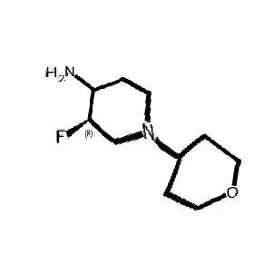 NC1CCN(C2CCOCC2)C[C@H]1F